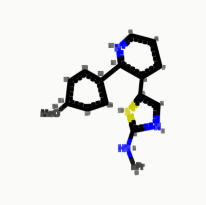 CCCNc1ncc(-c2cccnc2-c2ccc(OC)cc2)s1